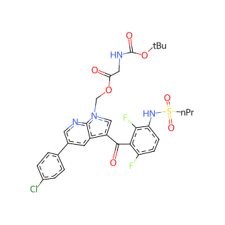 CCCS(=O)(=O)Nc1ccc(F)c(C(=O)c2cn(COC(=O)CNC(=O)OC(C)(C)C)c3ncc(-c4ccc(Cl)cc4)cc23)c1F